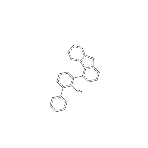 CC(C)c1c(-c2ccccc2)cccc1-c1cccc2sc3ccccc3c12